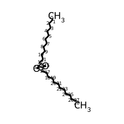 CCCCCCCCCCCCCS(=O)(=O)CCCCCCCCCCCCC